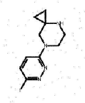 Ic1ccc(N2CCNC3(CC3)C2)nn1